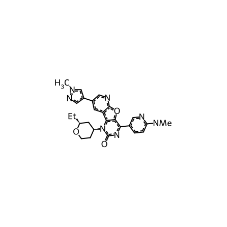 CC[C@H]1C[C@@H](n2c(=O)nc(-c3ccc(NC)nc3)c3oc4ncc(-c5cnn(C)c5)cc4c32)CCO1